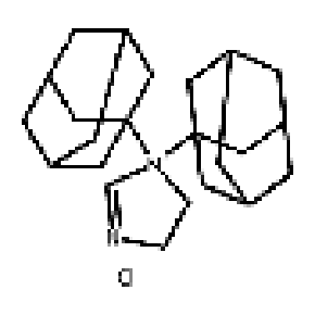 C1=NCC[N+]1(C12CC3CC(CC(C3)C1)C2)C12CC3CC(CC(C3)C1)C2.[Cl-]